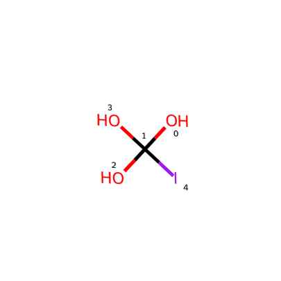 OC(O)(O)I